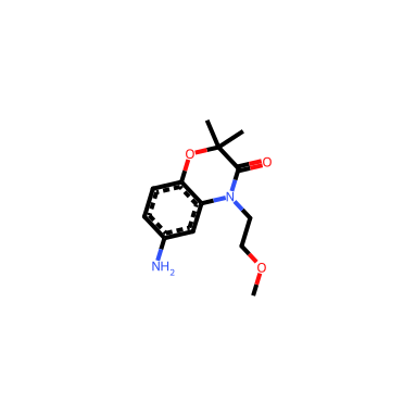 COCCN1C(=O)C(C)(C)Oc2ccc(N)cc21